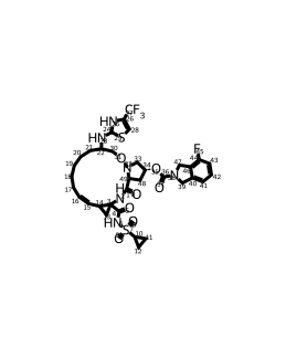 O=C1NC2(C(=O)NS(=O)(=O)C3CC3)CC2/C=C\CCCCCC(NC2NC(C(F)(F)F)=CS2)CON2C[C@H](OC(=O)N3Cc4cccc(F)c4C3)CC12